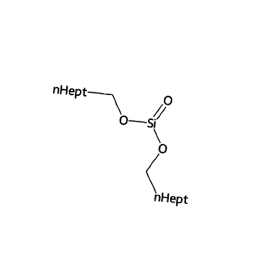 CCCCCCCCO[Si](=O)OCCCCCCCC